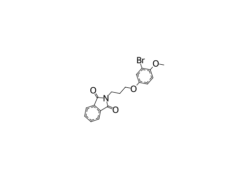 COc1ccc(OCCCN2C(=O)c3ccccc3C2=O)cc1Br